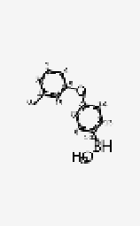 Cc1cccc(Oc2ccc(BO)cc2)c1